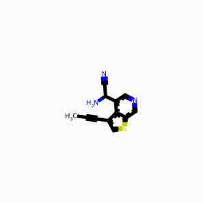 CC#Cc1csc2cncc(C(N)C#N)c12